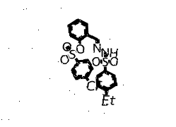 CCc1ccc(S(=O)(=O)NN=Cc2ccccc2OS(=O)(=O)c2ccc(C(F)(F)F)cc2)cc1